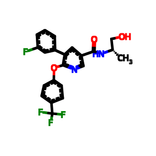 C[C@@H](CO)NC(=O)c1cnc(Oc2ccc(C(F)(F)F)cc2)c(-c2cccc(F)c2)c1